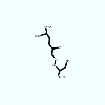 NC(CCC(=O)C[Se]NC(CS)C(=O)O)C(=O)O